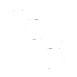 CCCCCC1CCC(C2CCC=CC2=O)CC1